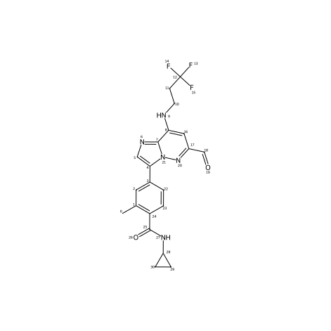 Cc1cc(-c2cnc3c(NCCC(F)(F)F)cc(C=O)nn23)ccc1C(=O)NC1CC1